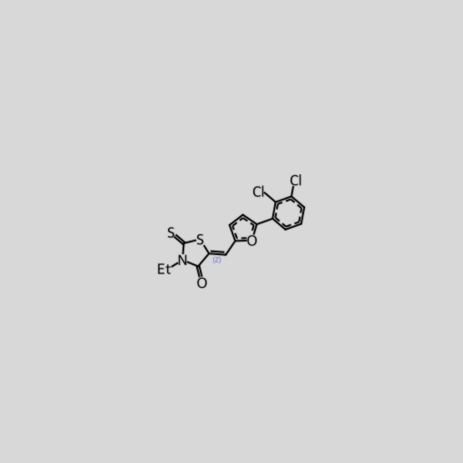 CCN1C(=O)/C(=C/c2ccc(-c3cccc(Cl)c3Cl)o2)SC1=S